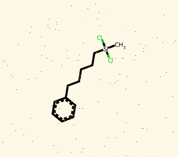 C[Si](Cl)(Cl)CCCCCc1ccccc1